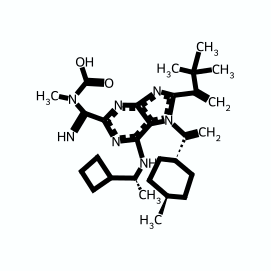 C=C(c1nc2nc(C(=N)N(C)C(=O)O)nc(N[C@H](C)C3CCC3)c2n1C(=C)[C@H]1CC[C@H](C)CC1)C(C)(C)C